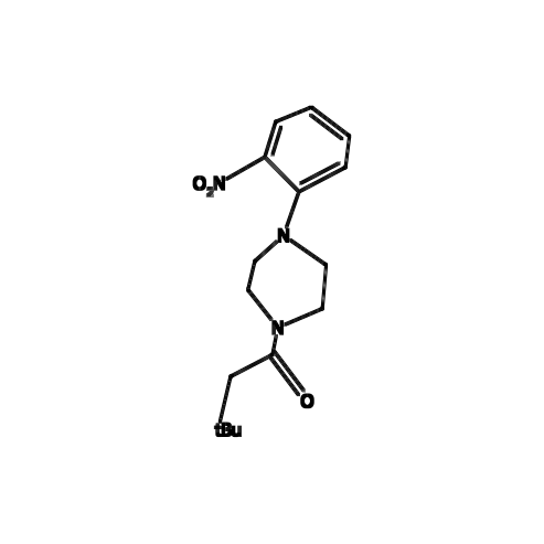 CC(C)(C)CC(=O)N1CCN(c2ccccc2[N+](=O)[O-])CC1